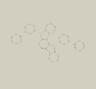 Clc1ccc2c3ccc4c(c5ccccc5n4-c4cccc(-c5ccccc5)c4)c3n(-c3cccc(-c4ccccc4)c3)c2c1